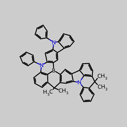 CC1(C)c2cc3c(cc2B2c4cc5c6ccccc6n(-c6ccccc6)c5cc4N(c4ccccc4)c4cccc1c42)c1cccc2c1n3-c1ccccc1C2(C)C